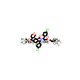 CC[C@@](O[Si](C)(C)C)(c1cc(F)c2c(c1)C(=O)N([C@H](c1ccc(Cl)cc1)[C@H](C)C(=O)OCC[Si](C)(C)C)C2(OC)c1ccc(Cl)cc1)C1CCOCC1